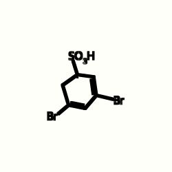 O=S(=O)(O)[C]1C=C(Br)C=C(Br)C1